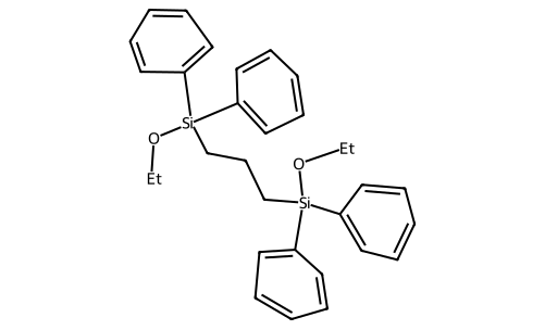 CCO[Si](CCC[Si](OCC)(c1ccccc1)c1ccccc1)(c1ccccc1)c1ccccc1